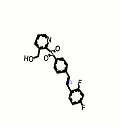 O=S(=O)(c1ccc(/C=C/c2ccc(F)cc2F)cc1)c1ncccc1CO